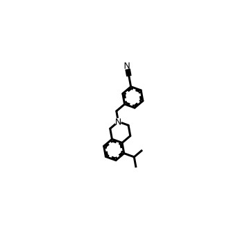 CC(C)c1cccc2c1CCN(Cc1cccc(C#N)c1)C2